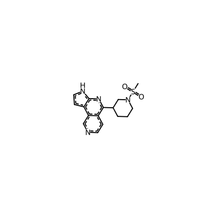 CS(=O)(=O)N1CCCC(c2nc3[nH]ccc3c3cnccc23)C1